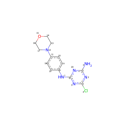 Nc1nc(Cl)nc(Nc2ccc(N3CCOCC3)cc2)n1